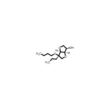 CCCCO[C@@]1(CCC)CO[C@@H]2[C@H](O)CO[C@@H]21